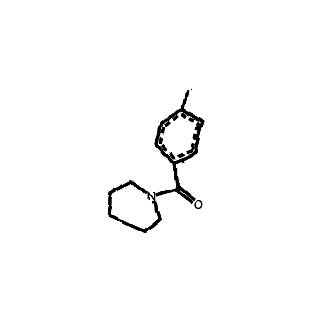 [CH2]c1ccc(C(=O)N2CCCCC2)cc1